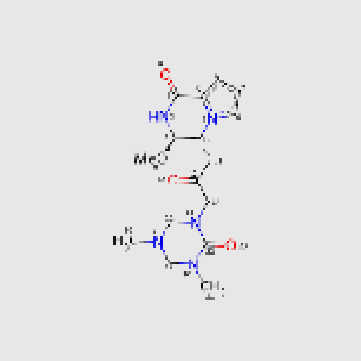 CO[C@H]1NC(=O)c2cccn2[C@@H]1CC(=O)CN1CN(C)CN(C)C1=O